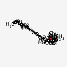 COc1cccc2c1C(=O)c1c(O)c3c(c(O)c1C2=O)C[C@@](O)(C(CO)=NNC(=O)CCOCCOCCOCCOCCNC(=O)COc1ccc(Cn2c(=O)oc4ccc(C)cc42)cc1O)C[C@@H]3OC1C[C@H](N)[C@H](O)[C@H](C)O1